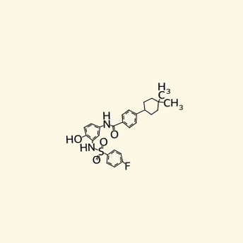 CC1(C)CCC(c2ccc(C(=O)Nc3ccc(O)c(NS(=O)(=O)c4ccc(F)cc4)c3)cc2)CC1